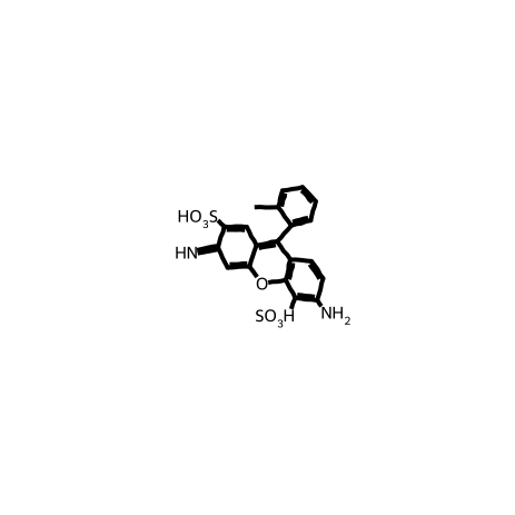 Cc1ccccc1-c1c2cc(S(=O)(=O)O)c(=N)cc-2oc2c(S(=O)(=O)O)c(N)ccc12